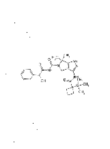 CC1(C)c2[nH]nc(NC(=O)C3([Si](C)(C)C)CCC3)c2CN1C(=O)NC(=O)C(O)c1ccccc1